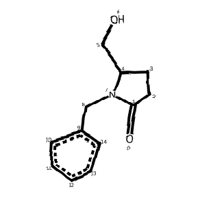 O=C1CCC(CO)N1Cc1ccccc1